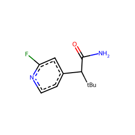 CC(C)(C)C(C(N)=O)c1ccnc(F)c1